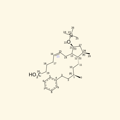 C[C@@H](CCc1ccccc1)CC[C@@H]1C(C/C=C\CCCC(=O)O)[C@@H](O[Si](C)(C)C)C[C@H]1C